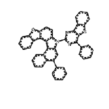 c1ccc(-c2cc3c(c4ccccc24)c2c4c(ccc2n3-c2nc(-c3ccccc3)c3sc5ccccc5c3n2)oc2ccccc24)cc1